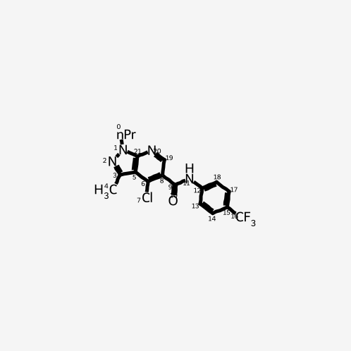 CCCn1nc(C)c2c(Cl)c(C(=O)Nc3ccc(C(F)(F)F)cc3)cnc21